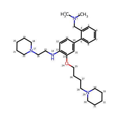 CN(C)Cc1ccccc1-c1ccc(NCCN2CCCCC2)c(OCCCCN2CCCCC2)c1